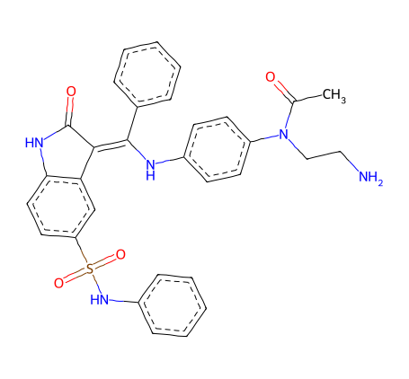 CC(=O)N(CCN)c1ccc(NC(=C2C(=O)Nc3ccc(S(=O)(=O)Nc4ccccc4)cc32)c2ccccc2)cc1